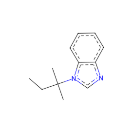 CCC(C)(C)n1cnc2ccccc21